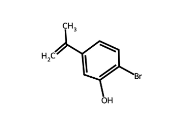 C=C(C)c1ccc(Br)c(O)c1